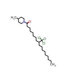 CCCCCCCCCC(CCCCCCCC(=O)N1CCC(C)CC1)C(Cl)(Cl)Cl